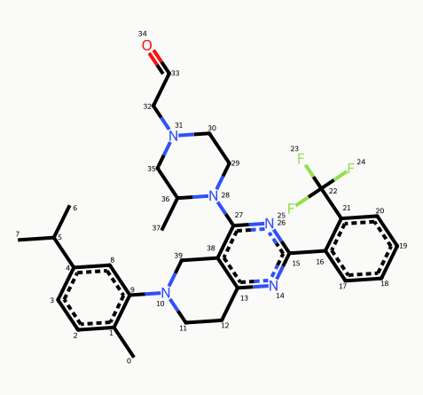 Cc1ccc(C(C)C)cc1N1CCc2nc(-c3ccccc3C(F)(F)F)nc(N3CCN(CC=O)CC3C)c2C1